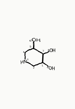 OC1CNCC(O)C1O